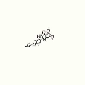 CCOCCOc1c(C)cc(-c2nc3cc(OC)cc(OC)c3c(=O)[nH]2)cc1C